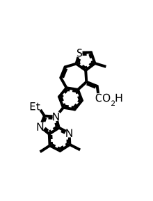 CCc1nc2c(C)cc(C)nc2n1-c1ccc2c(c1)C=Cc1scc(C)c1C2=CC(=O)O